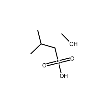 CC(C)CS(=O)(=O)O.CO